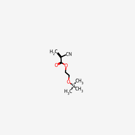 C=C(C#N)C(=O)OCCO[Si](C)(C)C